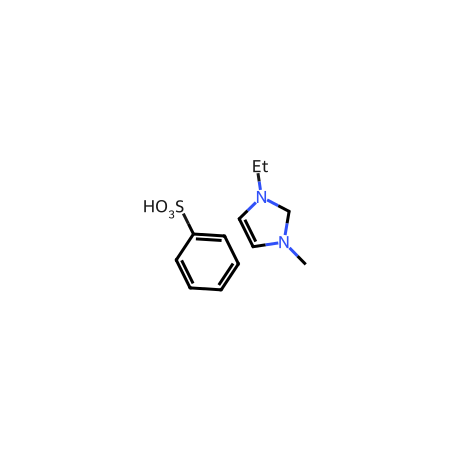 CCN1C=CN(C)C1.O=S(=O)(O)c1ccccc1